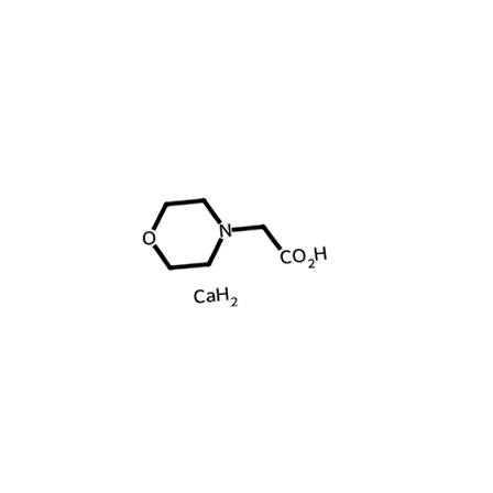 O=C(O)CN1CCOCC1.[CaH2]